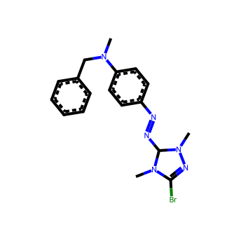 CN(Cc1ccccc1)c1ccc(N=NC2N(C)N=C(Br)N2C)cc1